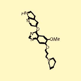 COc1cc2c(Oc3cnc4c(c3)CCN4)ncnc2cc1OCCCN1CCCCC1